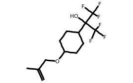 C=C(C)COC1CCC(C(O)(C(F)(F)F)C(F)(F)F)CC1